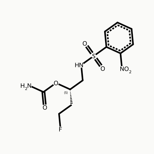 NC(=O)O[C@@H](CCF)CNS(=O)(=O)c1ccccc1[N+](=O)[O-]